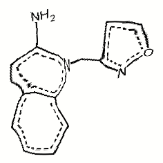 Nc1cc2ccccc2n1-c1ccon1